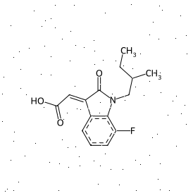 CCC(C)CN1C(=O)/C(=C/C(=O)O)c2cccc(F)c21